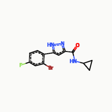 O=C(NC1CC1)c1cc(-c2ccc(F)cc2Br)[nH]n1